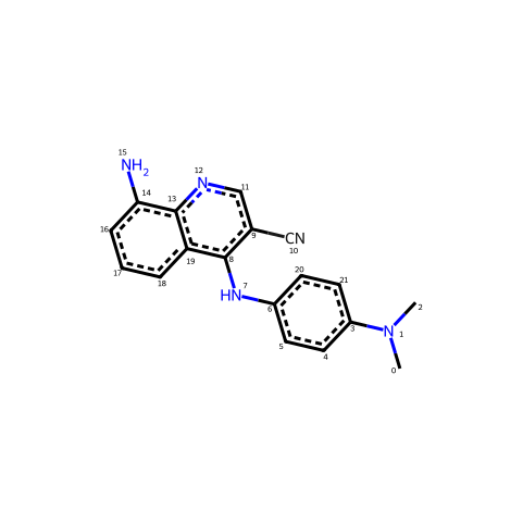 CN(C)c1ccc(Nc2c(C#N)cnc3c(N)cccc23)cc1